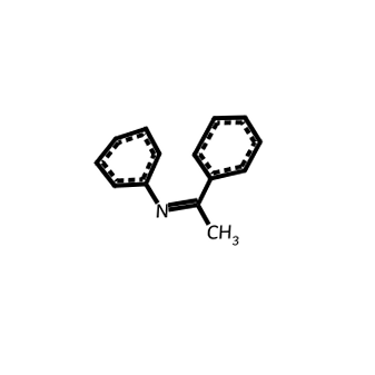 C/C(=N/c1ccccc1)c1ccccc1